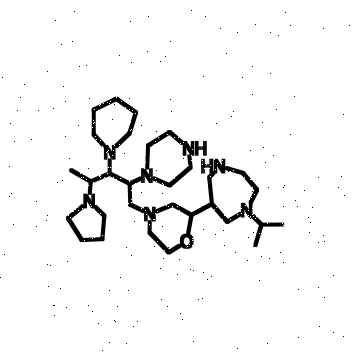 CC(C)N1CCNCC(C2CN(CC(C(C(C)N3CCCC3)N3CCCCC3)N3CCNCC3)CCO2)C1